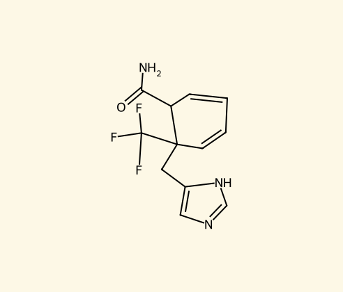 NC(=O)C1C=CC=CC1(Cc1cnc[nH]1)C(F)(F)F